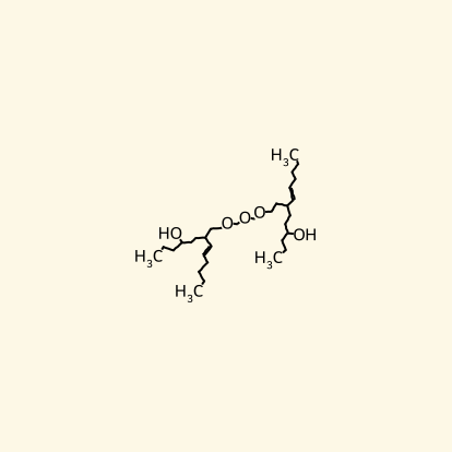 CCCCC=CC(CCOCOCOCCC(C=CCCCC)CCC(O)CCC)CCC(O)CCC